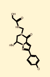 CCCCC1CN(CNC(=O)CO)C(=O)c2cc(-c3ccc(Cl)cc3)nn21